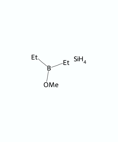 CCB(CC)OC.[SiH4]